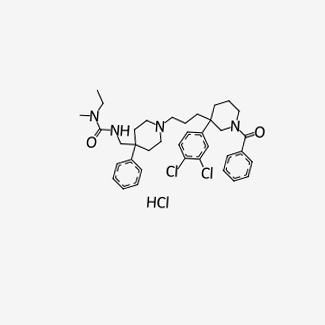 CCN(C)C(=O)NCC1(c2ccccc2)CCN(CCCC2(c3ccc(Cl)c(Cl)c3)CCCN(C(=O)c3ccccc3)C2)CC1.Cl